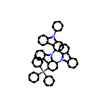 c1ccc(-n2c3ccccc3c3c(-n4c5ccccc5c5c([Si](c6ccccc6)(c6ccccc6)c6ccccc6)ccc(-n6c7ccccc7c7ccccc76)c54)cccc32)cc1